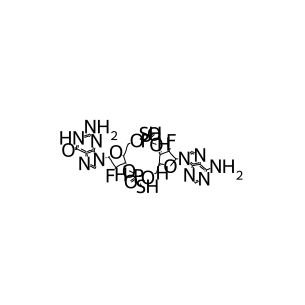 Nc1nc2c(ncn2[C@@H]2OC3CO[P@](=O)(S)O[C@H]4[C@@H](F)[C@H](n5cnc6c(N)ncnc65)O[C@@H]4CO[P@@](=O)(S)O[C@H]3[C@H]2F)c(=O)[nH]1